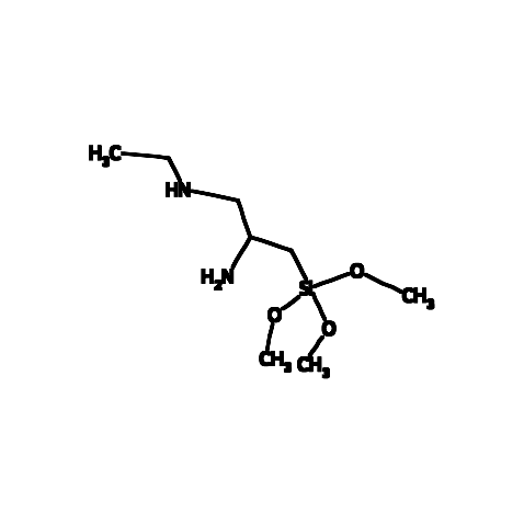 CCNCC(N)C[Si](OC)(OC)OC